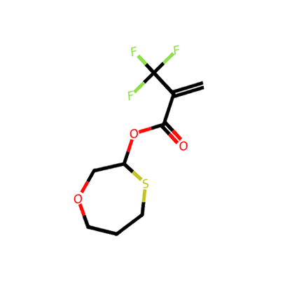 C=C(C(=O)OC1COCCCS1)C(F)(F)F